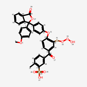 COc1ccc(C2(c3ccc(Oc4ccc(C(=O)c5ccc(C)c(S(=O)(=O)O)c5)cc4SOOO)cc3)OC(=O)c3ccccc32)cc1